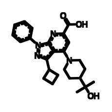 CC(C)(O)C1CCN(c2cc(C(=O)O)nc3c2c(C2CCC2)nn3-c2ccccc2)CC1